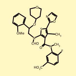 COc1ccccc1C(CN(C=O)c1sc(-c2ncco2)c(C)c1C(=O)N(C)c1cc(C(=O)O)ccc1F)OC1CCOCC1